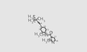 Cc1cc(C#C[Si](C)(C)C)ccc1NC(=O)c1ccnn1C